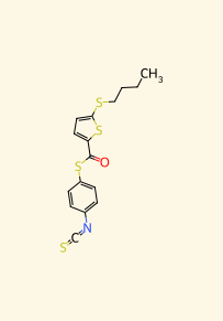 CCCCSc1ccc(C(=O)Sc2ccc(N=C=S)cc2)s1